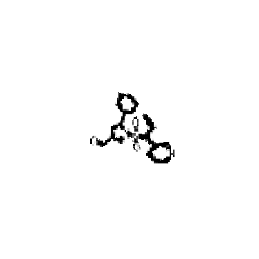 C=CC(c1cccnc1)S(=O)(=O)n1cc(C=O)cc1-c1ccccc1